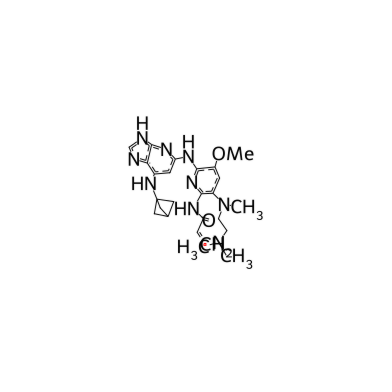 C=CC(=O)Nc1nc(Nc2cc(NC34CC(C3)C4)c3nc[nH]c3n2)c(OC)cc1N(C)CCN(C)C